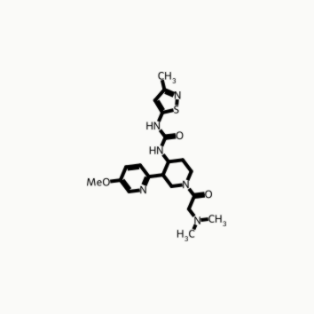 COc1ccc(C2CN(C(=O)CN(C)C)CCC2NC(=O)Nc2cc(C)ns2)nc1